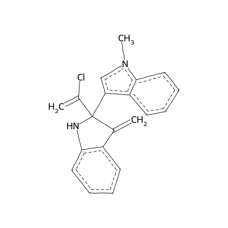 C=C(Cl)C1(c2cn(C)c3ccccc23)Nc2ccccc2C1=C